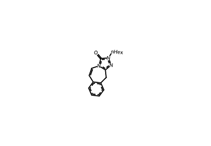 CCCCCCn1nc2n(c1=O)C=Cc1ccccc1C2